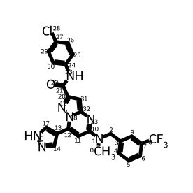 CN(Cc1cccc(C(F)(F)F)c1)c1cc(-c2cn[nH]c2)n2nc(C(=O)Nc3ccc(Cl)cc3)cc2n1